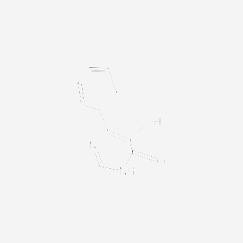 O=c1[nH]cnc(-c2ccccc2)c1O